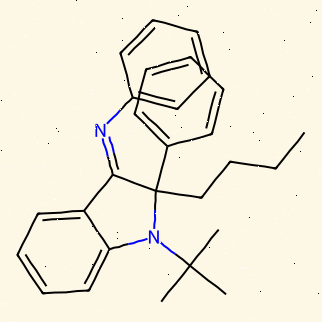 CCCCC1(c2ccccc2)/C(=N\c2ccccc2)c2ccccc2N1C(C)(C)C